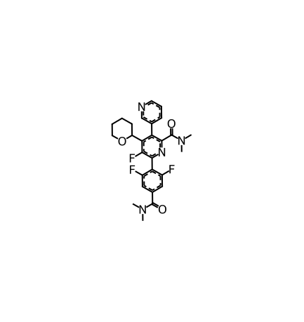 CN(C)C(=O)c1cc(F)c(-c2nc(C(=O)N(C)C)c(-c3cccnc3)c(C3CCCCO3)c2F)c(F)c1